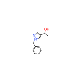 CC(O)c1cnn(Cc2ccccc2)c1